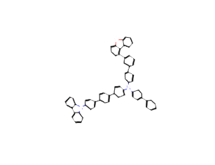 c1ccc(-c2ccc(N(c3ccc(-c4ccc(-c5ccc(-n6c7ccccc7c7ccccc76)cc5)cc4)cc3)c3ccc(-c4cccc(-c5cccc6oc7ccccc7c56)c4)cc3)cc2)cc1